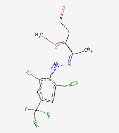 C[SH]=C(C[C]=O)C(C)=NNc1c(Cl)cc(C(F)(F)F)cc1Cl